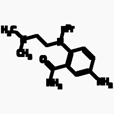 CCCN(CCN(C)C)c1ccc(N)cc1C(N)=O